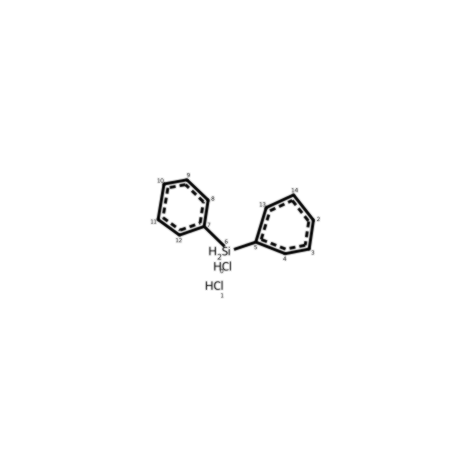 Cl.Cl.c1ccc([SiH2]c2ccccc2)cc1